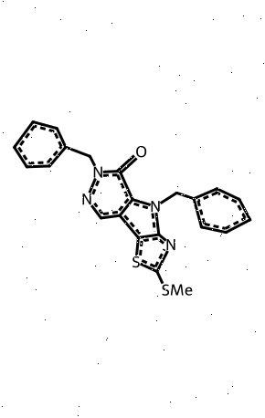 CSc1nc2c(s1)c1cnn(Cc3ccccc3)c(=O)c1n2Cc1ccccc1